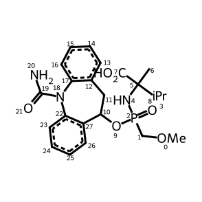 COCP(=O)(NC(C)(C(=O)O)C(C)C)OC1Cc2ccccc2N(C(N)=O)c2ccccc21